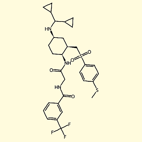 CSc1ccc(S(=O)(=O)C[C@@H]2C[C@H](NC(C3CC3)C3CC3)CC[C@@H]2NC(=O)CNC(=O)c2cccc(C(F)(F)F)c2)cc1